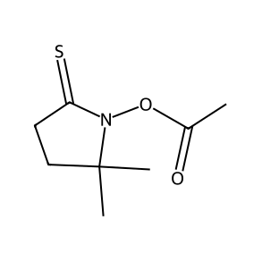 CC(=O)ON1C(=S)CCC1(C)C